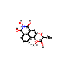 CCCCC(Oc1cc2c3c(cccc3c1)C(=O)N(O)C2=O)C(=O)OC(C)(C)C